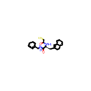 O=C(CS)N[C@@H](Cc1ccc2ccccc2c1)C(=O)NCc1ccccc1